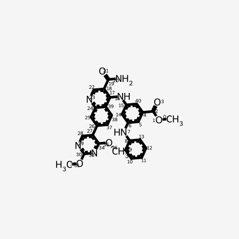 COC(=O)c1cc(Nc2ccccc2)cc(Nc2c(C(N)=O)cnc3cc(-c4cnc(OC)nc4OC)ccc23)c1